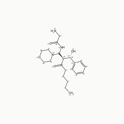 CCCCCC(=O)[C@@H](C(NC(=O)CN)N1CCOCC1)[C@H](O)c1ccccc1